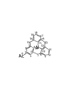 CC(=O)c1cc2c3c(c1)Cc1cccc4c1N3c1c(cccc1C2)C4